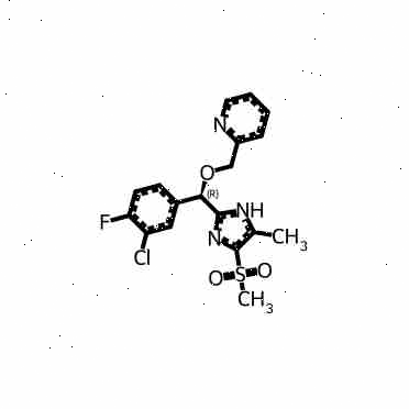 Cc1[nH]c([C@H](OCc2ccccn2)c2ccc(F)c(Cl)c2)nc1S(C)(=O)=O